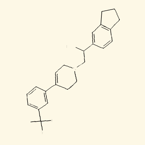 CC(CN1CC=C(c2cccc(C(F)(F)F)c2)CC1)c1ccc2c(c1)CCC2